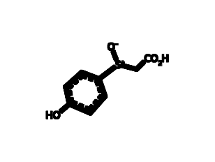 O=C(O)C[S+]([O-])c1ccc(O)cc1